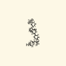 CS(=O)(=O)c1cccc(-c2cnn3cc(-c4ccc(OC5(CN6CCNCC6)CC5)cc4)cnc23)c1